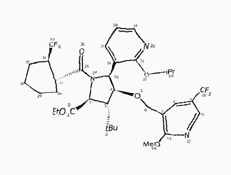 CCOC(=O)[C@@H]1[C@@H](C(C)(C)C)[C@H](OCc2cc(C(F)(F)F)cnc2OC)[C@H](c2cccnc2OC(C)C)N1C(=O)[C@@H]1CCCC[C@H]1C(F)(F)F